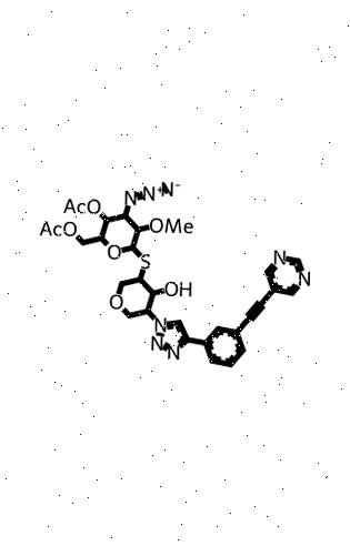 COC1C(SC2COCC(n3cc(-c4cccc(C#Cc5cncnc5)c4)nn3)C2O)OC(COC(C)=O)C(OC(C)=O)C1N=[N+]=[N-]